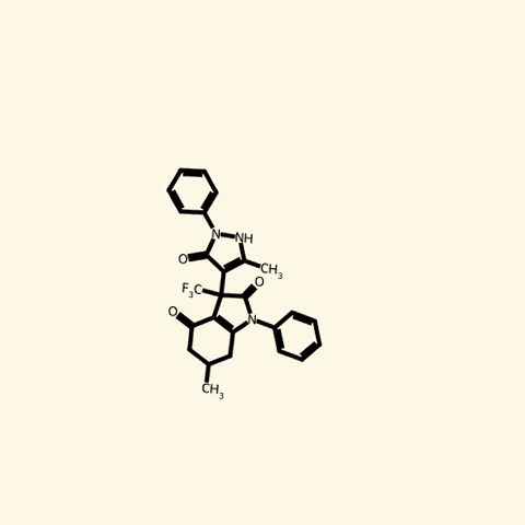 Cc1[nH]n(-c2ccccc2)c(=O)c1C1(C(F)(F)F)C(=O)N(c2ccccc2)C2=C1C(=O)CC(C)C2